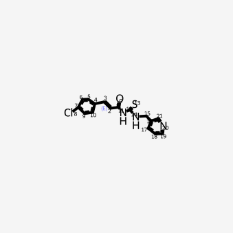 O=C(/C=C/c1ccc(Cl)cc1)NC(=S)NCc1cccnc1